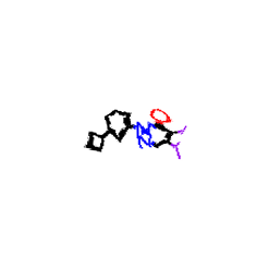 O=c1c(I)c(I)cnn1-c1cccc(C2CCC2)c1